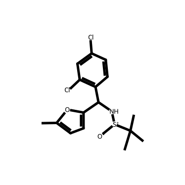 Cc1ccc(C(N[S+]([O-])C(C)(C)C)c2ccc(Cl)cc2Cl)o1